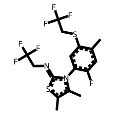 Cc1cc(F)c(-n2c(C)c(C)sc2=NCC(F)(F)F)cc1SCC(F)(F)F